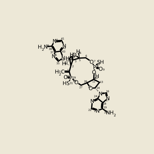 C=C1[C@@H]2[C@H](O)[C@@H](COP(=O)(S)O[C@H]3C[C@H](n4cnc5c(N)ncnc54)OC3COP1(=O)S)O[C@H]2n1cnc2c(N)ncnc21